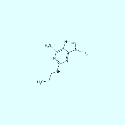 CCCNc1nc(N)c2ncn(C)c2n1